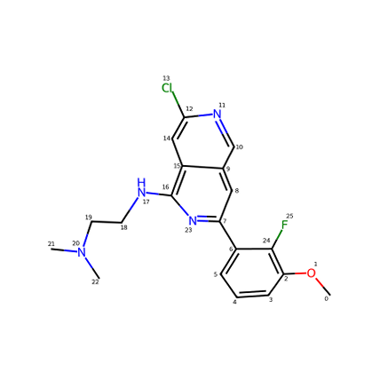 COc1cccc(-c2cc3cnc(Cl)cc3c(NCCN(C)C)n2)c1F